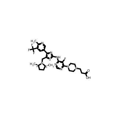 Cc1ncc(-c2nc(Nc3ncnc(N4CCN(CCC(=O)O)CC4)c3F)sc2CN2[C@H](C)CC[C@H]2C)cc1C(F)(F)F